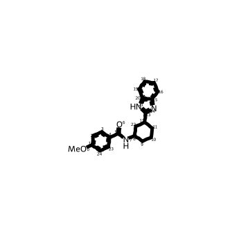 COc1ccc(C(=O)NC2CCCC(c3nc4ccccc4[nH]3)C2)cc1